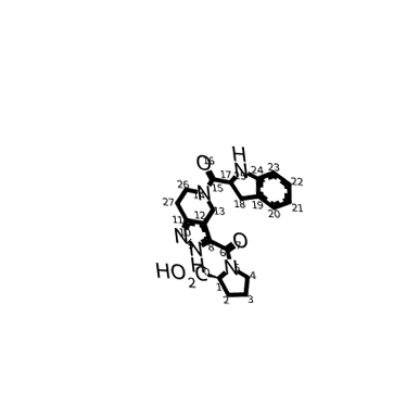 O=C(O)[C@@H]1CCCN1C(=O)c1[nH]nc2c1CN(C(=O)C1Cc3ccccc3N1)CC2